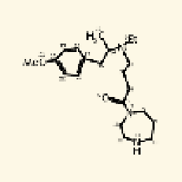 CCN(CCCC(=O)N1CCCNCC1)C(C)Cc1ccc(OC)cc1